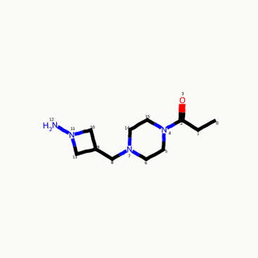 CCC(=O)N1CCN(CC2CN(N)C2)CC1